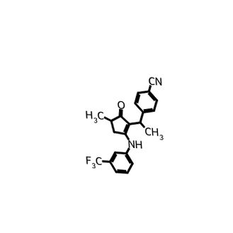 CC1CC(Nc2cccc(C(F)(F)F)c2)=C(C(C)c2ccc(C#N)cc2)C1=O